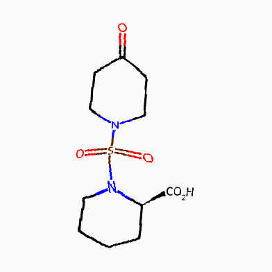 O=C1CCN(S(=O)(=O)N2CCCC[C@@H]2C(=O)O)CC1